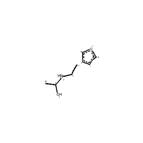 CCNC(C)O.c1ccoc1